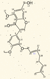 COc1ccc(-c2coc3cc(CO)cc(OC)c3c2=O)cc1OC/C=C(\C)CCC=C(C)C